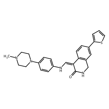 CN1CCN(c2ccc(NC=C3C(=O)NCc4cc(-c5cccs5)ccc43)cc2)CC1